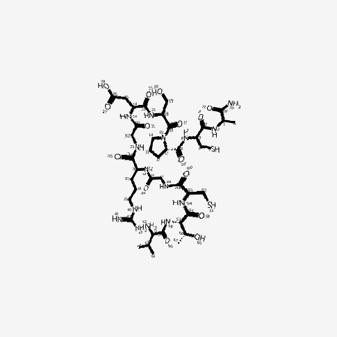 CC(NC(=O)C(CS)NC(=O)[C@@H]1CCCN1C(=O)C(CO)NC(=O)C(CC(=O)O)NC(=O)CNC(=O)C(CCCNC(=N)N)NC(=O)CNC(=O)C(CS)NC(=O)[C@@H](NC(=O)C(N)C(C)C)[C@@H](C)O)C(N)=O